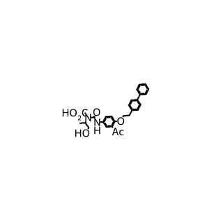 CC(=O)c1cc(NC(=O)N(C(=O)O)C(C)CO)ccc1OCCc1ccc(-c2ccccc2)cc1